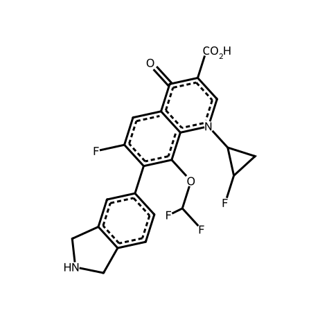 O=C(O)c1cn(C2CC2F)c2c(OC(F)F)c(-c3ccc4c(c3)CNC4)c(F)cc2c1=O